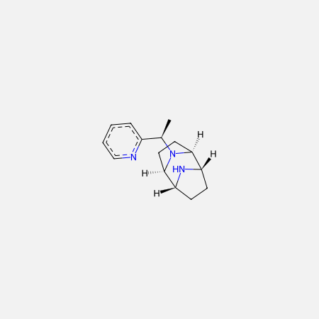 C[C@H](c1ccccn1)N1[C@@H]2CC[C@H]1[C@@H]1CC[C@H]2N1